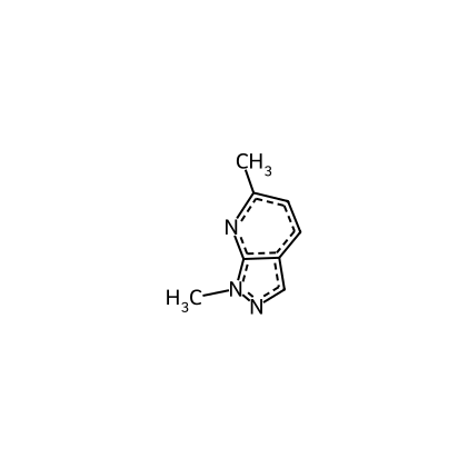 Cc1ccc2cnn(C)c2n1